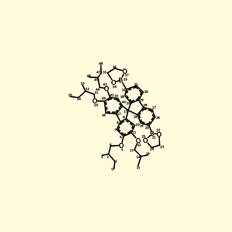 CCC(C)COc1cc2c(cc1OCC(C)C)C1(c3cc(B4OCCO4)ccc3-c3ccc(B4OCCO4)cc31)c1cc(OCC(C)CC)c(OCC(C)CC)cc1-2